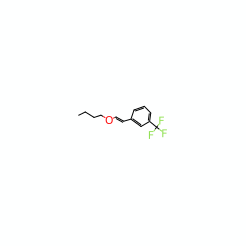 CCCCOC=Cc1cccc(C(F)(F)F)c1